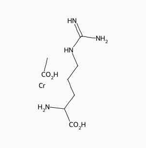 CC(=O)O.N=C(N)NCCCC(N)C(=O)O.[Cr]